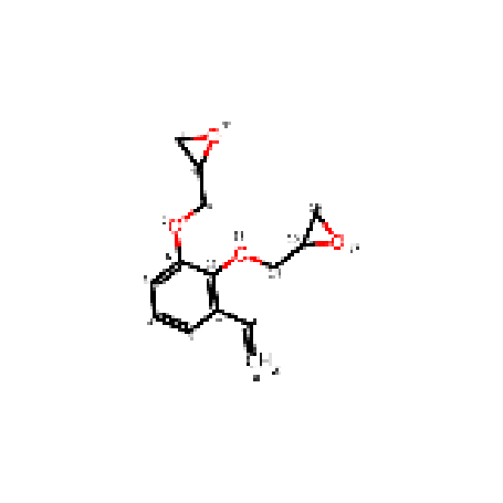 C=Cc1cccc(OCC2CO2)c1OCC1CO1